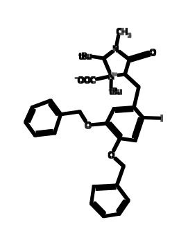 CN1C(=O)C(Cc2cc(OCc3ccccc3)c(OCc3ccccc3)cc2I)[N+](C(=O)[O-])(C(C)(C)C)C1C(C)(C)C